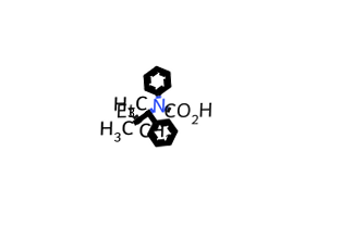 CCC(C)(C)C(C)(c1ccccc1)N(C(=O)O)c1ccccc1